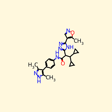 Cc1n[nH]c(C)c1-c1ccc(NC(=O)C(c2nnc(-c3cnoc3C)[nH]2)C(C2CC2)C2CC2)cc1